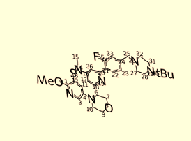 COc1ncc(N2CCOCC2)cc1SN(C)c1ccnc(-c2ccc(CN3CCN(C(C)(C)C)CC3)cc2F)c1